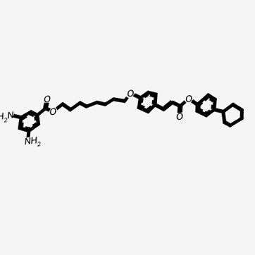 Nc1cc(N)cc(C(=O)OCCCCCCCCOc2ccc(/C=C/C(=O)Oc3ccc(C4CCCCC4)cc3)cc2)c1